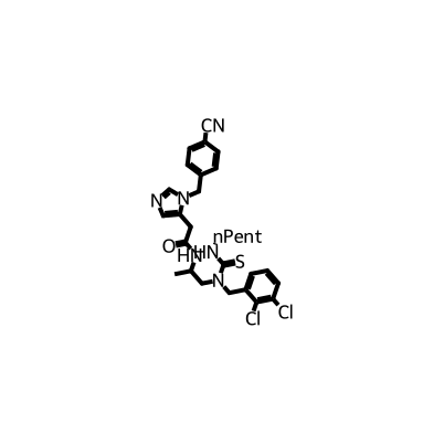 CCCCCNC(=S)N(Cc1cccc(Cl)c1Cl)CC(C)NC(=O)Cc1cncn1Cc1ccc(C#N)cc1